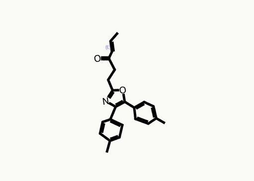 C/C=C/C(=O)CCc1nc(-c2ccc(C)cc2)c(-c2ccc(C)cc2)o1